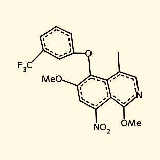 COc1cc([N+](=O)[O-])c2c(OC)ncc(C)c2c1Oc1cccc(C(F)(F)F)c1